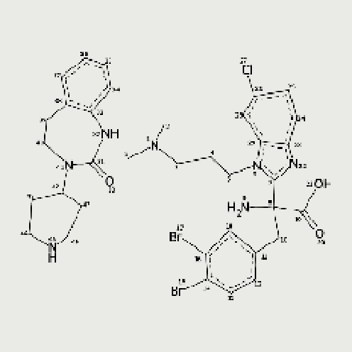 CN(C)CCCn1c(C(N)(Cc2ccc(Br)c(Br)c2)C(=O)O)nc2ccc(Cl)cc21.O=C1Nc2ccccc2CCN1C1CCNCC1